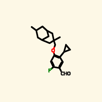 CC1CC2CC(C1)CC(C)(COc1cc(F)c(C=O)cc1C1CC1)C2